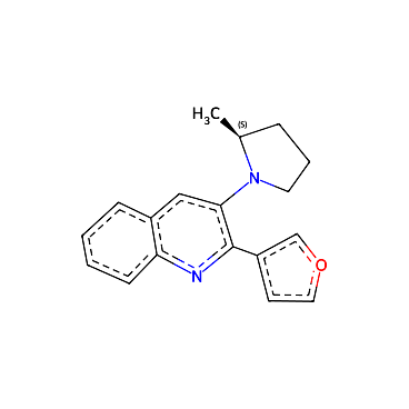 C[C@H]1CCCN1c1cc2ccccc2nc1-c1ccoc1